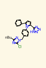 CCCCc1nc(Cl)n(Cc2ccc(-n3c(-c4ccccc4)ccc3-c3nnn[nH]3)cc2)n1